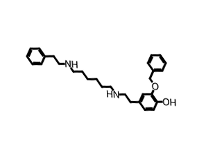 Oc1ccc(CCNCCCCCCNCCc2ccccc2)cc1OCc1ccccc1